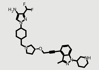 Cc1nn(C2CCCNC2)c2cccc(C#CCO[C@H]3CCN(CC4CCC(n5cc(N)c(C(F)F)n5)CC4)C3)c12